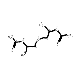 CC(=O)OC(C)COCC(C)OC(C)=O